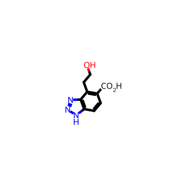 O=C(O)c1ccc2[nH]nnc2c1CCO